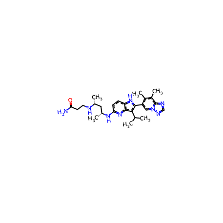 Cc1c(-c2[nH]c3ccc(N[C@H](C)C[C@@H](C)NCCC(N)=O)nc3c2C(C)C)cn2ncnc2c1C